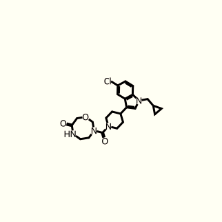 O=C1COCN(C(=O)N2CCC(c3cn(CC4CC4)c4ccc(Cl)cc34)CC2)CCN1